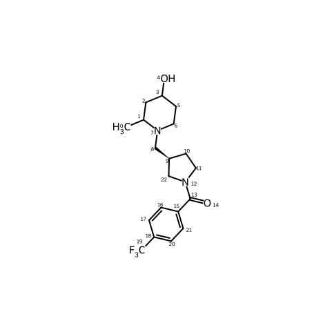 CC1CC(O)CCN1C[C@H]1CCN(C(=O)c2ccc(C(F)(F)F)cc2)C1